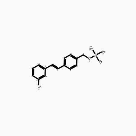 CC(C)[Si](OCc1ccc(C=Cc2cccc(C#N)c2)cc1)(C(C)C)C(C)C